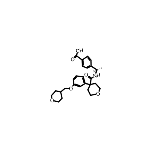 C[C@H](NC(=O)C1(c2cccc(OCC3CCOCC3)c2)CCOCC1)c1ccc(C(=O)O)cc1